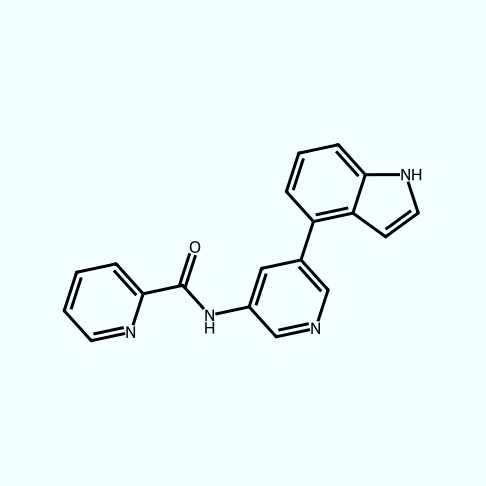 O=C(Nc1cncc(-c2cccc3[nH]ccc23)c1)c1ccccn1